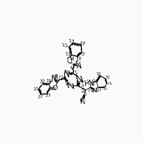 N#CC(c1nc(-c2nc3ccccc3o2)nc(-c2nc3ccccc3o2)n1)c1nc2ccccc2[nH]1